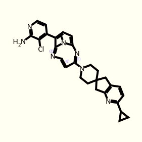 CN1C2=CC=C(c3ccnc(N)c3Cl)/C1=N/C=C/C(N1CCC3(CC1)Cc1ccc(C4CC4)nc1C3)=N\2